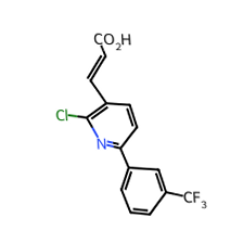 O=C(O)/C=C/c1ccc(-c2cccc(C(F)(F)F)c2)nc1Cl